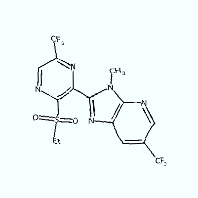 CCS(=O)(=O)c1ncc(C(F)(F)F)nc1-c1nc2cc(C(F)(F)F)cnc2n1C